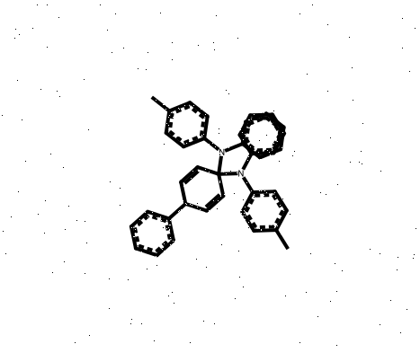 Cc1ccc(N(c2ccccc2)C2(N(c3ccccc3)c3ccc(C)cc3)C=CC(c3ccccc3)C=C2)cc1